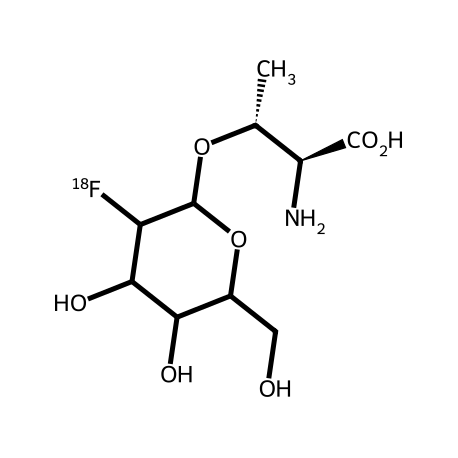 C[C@@H](OC1OC(CO)C(O)C(O)C1[18F])[C@H](N)C(=O)O